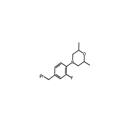 CC(C)Cc1ccc(N2CC(C)OC(C)C2)c(F)c1